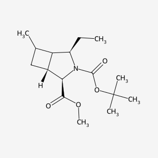 CC[C@@H]1C2C(C)C[C@H]2[C@H](C(=O)OC)N1C(=O)OC(C)(C)C